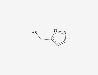 SCc1ccno1